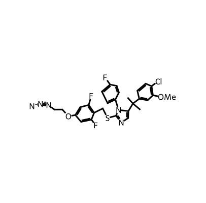 COc1cc(C(C)(C)c2cnc(SCc3c(F)cc(OCCN=[N+]=[N-])cc3F)n2-c2ccc(F)cc2)ccc1Cl